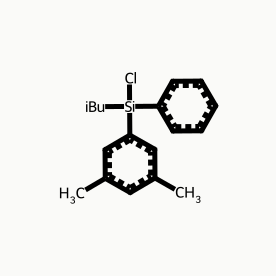 CCC(C)[Si](Cl)(c1ccccc1)c1cc(C)cc(C)c1